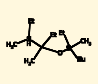 CCC(C)[Si](C)(CC)OC(C)(CC)[SiH](C)CC